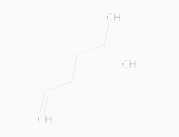 [CH]=CCCC(C)C